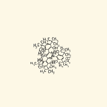 CC(C)(C)c1cc(C(C)(C)C)c(O)c(C2=NN(c3c(O)c(C(C)(C)C)cc(C(C)(C)C)c3O)NC(c3c(O)c(C(C)(C)C)cc(C(C)(C)C)c3O)=[C]2[Ti+2])c1O.[Cl-].[Cl-]